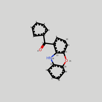 O=C(c1ccccc1)c1cccc2c1Nc1ccccc1O2